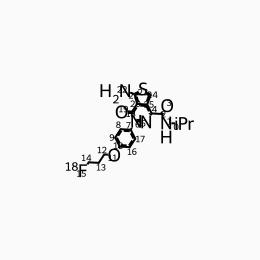 CC(C)NC(=O)c1nn(-c2ccc(OCCC[18F])cc2)c(=O)c2c(N)scc12